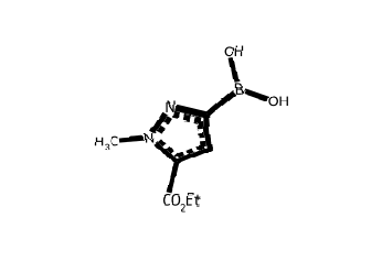 CCOC(=O)c1cc(B(O)O)nn1C